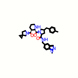 Cc1ccc(CC2CC(C(=O)NCc3ccc4c(cnn4C)c3)N(C(=O)[C@@H]3NCCC[C@@H]3C(=O)N3CCC4(CC4)C3)C2)cc1